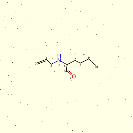 C=CCNC([C]=O)CCCC